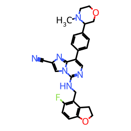 CN1CCOCC1c1ccc(-c2cnc(NCc3c(F)ccc4c3CCO4)n3cc(C#N)nc23)cc1